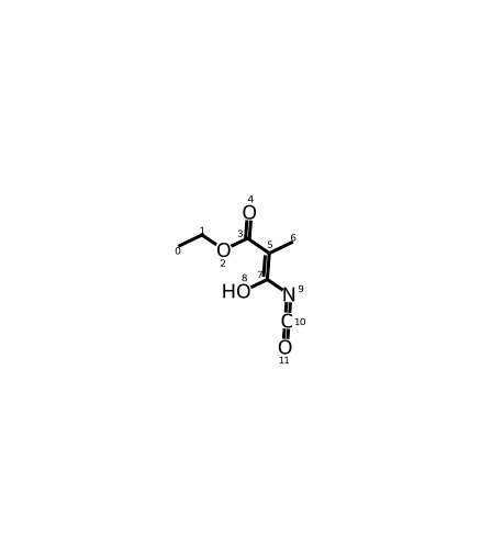 CCOC(=O)C(C)=C(O)N=C=O